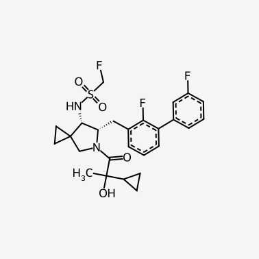 CC(O)(C(=O)N1CC2(CC2)[C@H](NS(=O)(=O)CF)[C@@H]1Cc1cccc(-c2cccc(F)c2)c1F)C1CC1